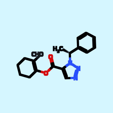 C[C@H](c1ccccc1)n1nncc1C(=O)OC1=C(C=O)CCCC1